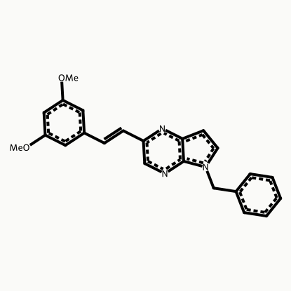 COc1cc(/C=C/c2cnc3c(ccn3Cc3ccccc3)n2)cc(OC)c1